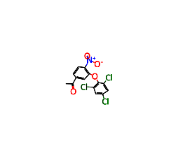 CC(=O)c1ccc([N+](=O)[O-])c(Oc2c(Cl)cc(Cl)cc2Cl)c1